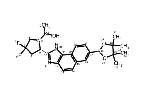 CB(O)N1CC(F)(F)C[C@H]1c1nc2ccc3cc(B4OC(C)(C)C(C)(C)O4)ccc3c2[nH]1